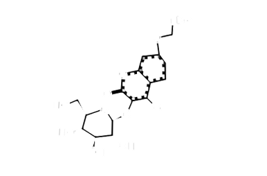 CCCCCCCCCCCOc1ccc2c(O)c(O[C@@H]3O[C@H](CO)[C@@H](O)[C@H](O)[C@H]3O)c(=O)oc2c1